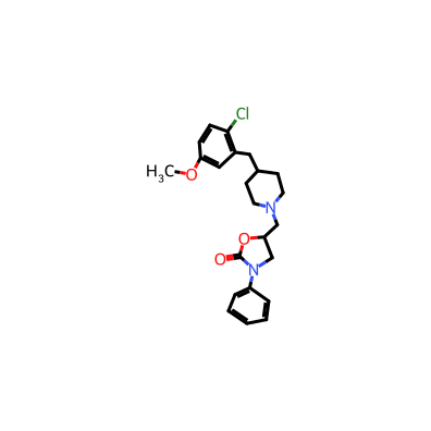 COc1ccc(Cl)c(CC2CCN(CC3CN(c4ccccc4)C(=O)O3)CC2)c1